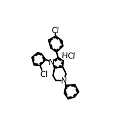 Cl.Clc1ccc(-c2cc3c(n2-c2ccccc2Cl)CCN(c2ccccc2)C3)cc1